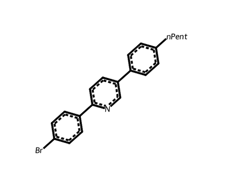 CCCCCc1ccc(-c2ccc(-c3ccc(Br)cc3)nc2)cc1